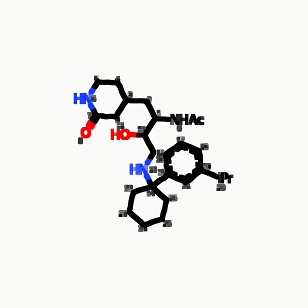 CC(=O)NC(CC1CCNC(=O)C1)C(O)CNC1(c2cccc(C(C)C)c2)CCCCC1